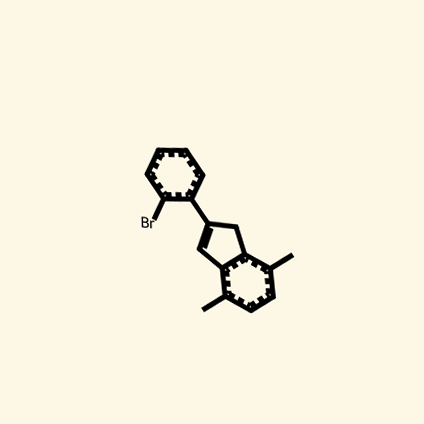 Cc1ccc(C)c2c1C=C(c1ccccc1Br)C2